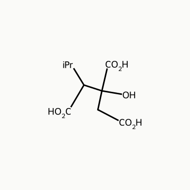 CC(C)C(C(=O)O)C(O)(CC(=O)O)C(=O)O